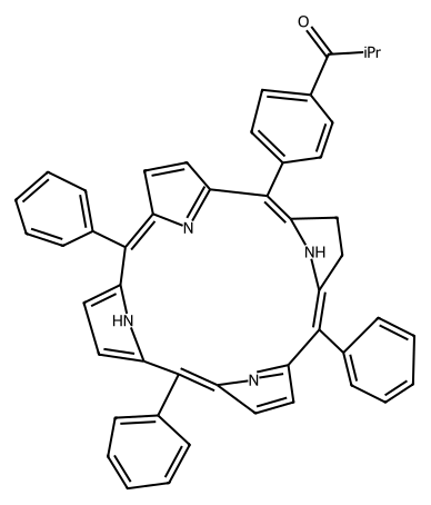 CC(C)C(=O)c1ccc(-c2c3nc(c(-c4ccccc4)c4ccc([nH]4)c(-c4ccccc4)c4nc(c(-c5ccccc5)c5[nH]c2CC5)C=C4)C=C3)cc1